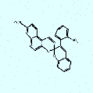 O=[N+]([O-])c1ccc2c3c(ccc2c1)OC1(C=C3)Oc2ccccc2C=C1c1ccccc1[N+](=O)[O-]